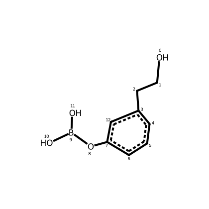 OCCc1cccc(OB(O)O)c1